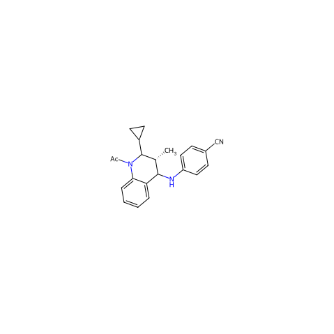 CC(=O)N1c2ccccc2C(Nc2ccc(C#N)cc2)[C@@H](C)C1C1CC1